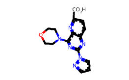 O=C(O)c1ccc2nc(-n3cccn3)nc(N3CCOCC3)c2n1